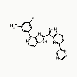 Cc1cc(F)cc(-c2nccc3[nH]c(-c4n[nH]c5ccc(-c6cnccn6)nc45)nc23)c1